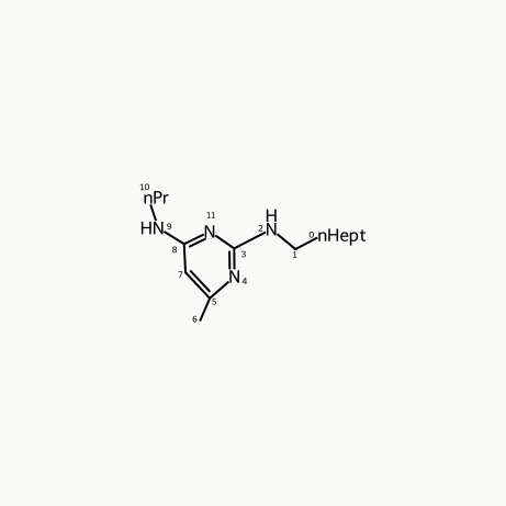 CCCCCCCCNc1nc(C)cc(NCCC)n1